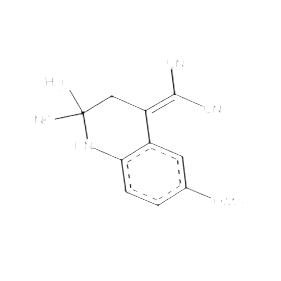 COc1ccc2c(c1)C(=C(C#N)C#N)CC(C)(C#N)N2